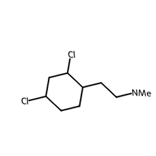 CNCCC1CCC(Cl)CC1Cl